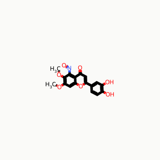 COc1cc2oc(-c3ccc(O)c(O)c3)cc(=O)c2c(N=O)c1OC